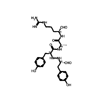 C[C@H](NC(=O)[C@H](Cc1ccc(O)cc1)NN[C@H](C=O)Cc1ccc(O)cc1)C(=O)N[C@H](C=O)CCCNC(=N)N